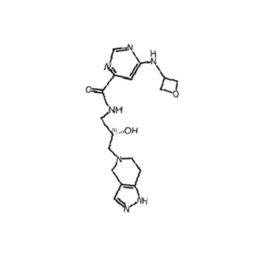 O=C(NC[C@H](O)CN1CCc2[nH]ncc2C1)c1cc(NC2COC2)ncn1